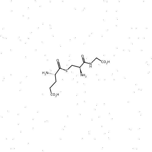 N[C@@H](CSC(=O)[C@@H](N)CCC(=O)O)C(=O)NCC(=O)O